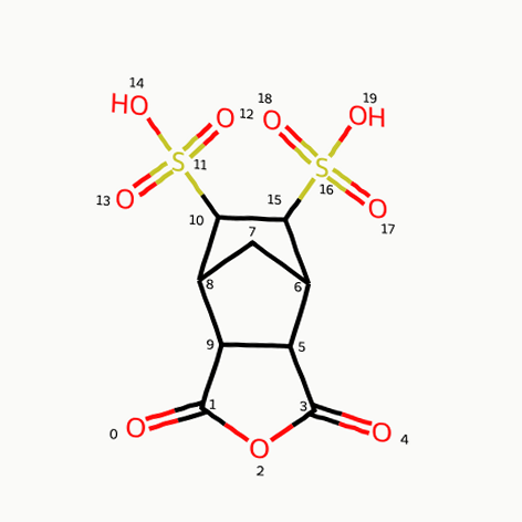 O=C1OC(=O)C2C3CC(C12)C(S(=O)(=O)O)C3S(=O)(=O)O